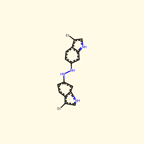 CCc1c[nH]c2cc(NNc3ccc4c(CC)c[nH]c4c3)ccc12